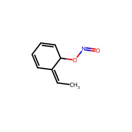 C/C=C1/C=CC=CC1ON=O